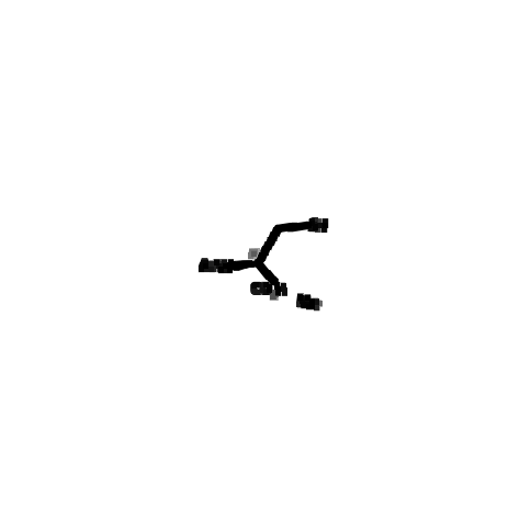 CC(=O)N[C@@H](CS)C(=O)O.[Mn]